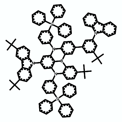 CC(C)(C)c1cc(-c2ccc3c(c2)B2c4cc(C(C)(C)C)ccc4N(c4cccc([Si](c5ccccc5)(c5ccccc5)c5ccccc5)c4)c4cc(-n5c6ccc(C(C)(C)C)cc6c6cc(C(C)(C)C)ccc65)cc(c42)N3c2cccc([Si](c3ccccc3)(c3ccccc3)c3ccccc3)c2)cc(-n2c3ccccc3c3ccccc32)c1